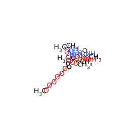 CC[C@@H](C)[C@@H](N)C(=O)NCc1ncc(C(=O)C(C(C)C)C(O)C(O)C(N)C(C(=O)[C@@H](N)[C@@H](C)O)C2CCCCC2)c(Oc2cccc3c(OCCOCCOCCOCCOCCOC)cccc23)c1C(C)=O